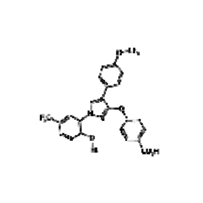 CCOc1ccc(C(F)(F)F)cc1-n1cc(-c2ccc(OC(F)(F)F)cc2)c(Oc2ccc(C(=O)O)cc2)n1